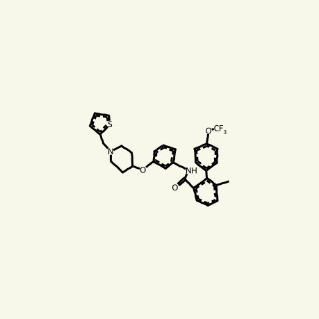 Cc1cccc(C(=O)Nc2cccc(OC3CCN(Cc4cccs4)CC3)c2)c1-c1ccc(OC(F)(F)F)cc1